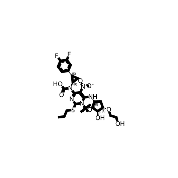 CCCSC1N=C(N(C(=O)O)[C@@H]2C[C@H]2c2ccc(F)c(F)c2)C([N+](=O)[O-])=C(N[C@@H]2C[C@H](OCCO)[C@@H](O)[C@H]2O)N1C(C)(C)C